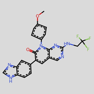 COc1ccc(-n2c(=O)c(-c3ccc4[nH]cnc4c3)cc3cnc(NCC(F)(F)F)nc32)cc1